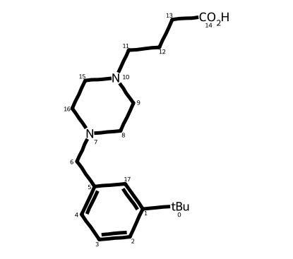 CC(C)(C)c1cccc(CN2CCN(CCCC(=O)O)CC2)c1